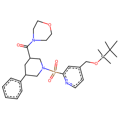 CC(C)(C)[Si](C)(C)OCc1ccnc(S(=O)(=O)N2CC(C(=O)N3CCOCC3)CC(c3ccccc3)C2)c1